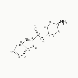 N[C@H]1CC[C@H](NC(=O)c2nc3ccccc3s2)CC1